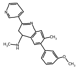 CNC1CC(c2cccnc2)=Nc2cc(C)c(-c3cccc(OC)c3)cc21